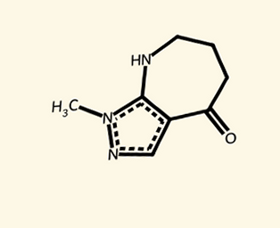 Cn1ncc2c1NCCCC2=O